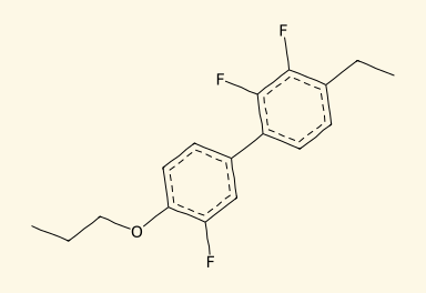 CCCOc1ccc(-c2ccc(CC)c(F)c2F)cc1F